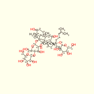 CC(C)=CCCC(C)(OC1OC(CO)C(O)C(O)C1O)C1CCC2(C)C1C(O)CC1C3(C)CCC(O)C(C)(C)C3C(OC3OC(CO)C(OC4OC(CO)C(O)C(O)C4O)C(O)C3O)CC12C